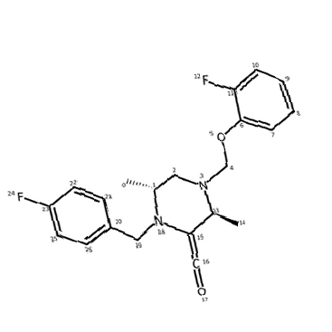 C[C@@H]1CN(COc2ccccc2F)[C@@H](C)C(=C=O)N1Cc1ccc(F)cc1